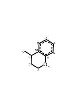 [CH]C1CCOc2ccccc21